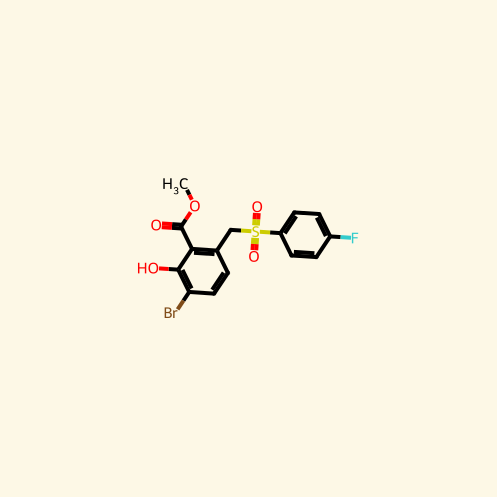 COC(=O)c1c(CS(=O)(=O)c2ccc(F)cc2)ccc(Br)c1O